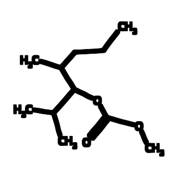 CCCC(C)C(OC(=O)OC)C(C)C